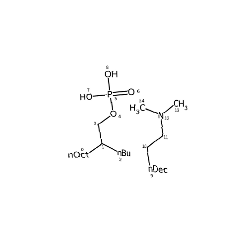 CCCCCCCCC(CCCC)COP(=O)(O)O.CCCCCCCCCCCCN(C)C